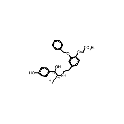 CCOC(=O)COc1ccc(CCN[C@@H](C)[C@H](O)c2ccc(O)cc2)cc1OCc1ccccc1